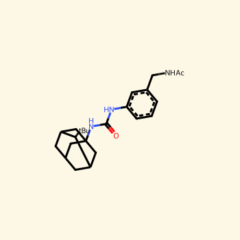 CC(=O)NCc1cccc(NC(=O)NC23CC4CC(C2)C(C(C)(C)C)C(C4)C3)c1